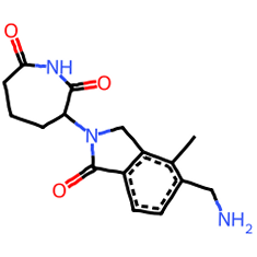 Cc1c(CN)ccc2c1CN(C1CCCC(=O)NC1=O)C2=O